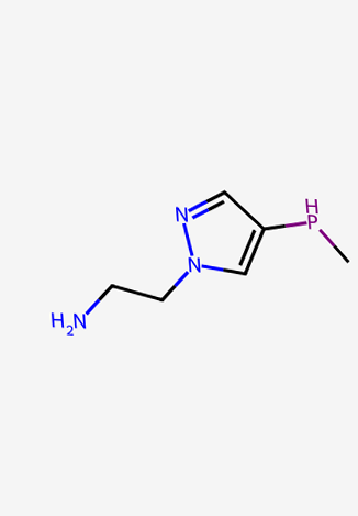 CPc1cnn(CCN)c1